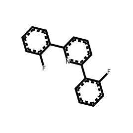 Fc1ccccc1-c1cccc(-c2ccccc2F)n1